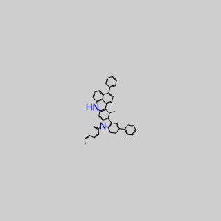 C=C(/C=C\C=C/C)N1C2=CC3=C(c4ccc(-c5ccccc5)c5cccc(c45)N3)C(C)C2c2cc(-c3ccccc3)ccc21